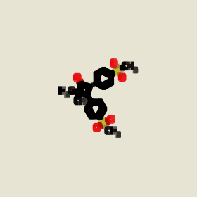 CC1(C)C(=O)[C@H](c2ccc(S(C)(=O)=O)cc2)[C@H]1c1ccc(S(C)(=O)=O)cc1